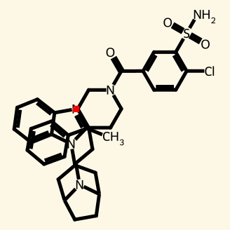 Cc1nc2ccccc2n1C1CC2CCC(C1)N2CCC1(c2ccccc2)CCN(C(=O)c2ccc(Cl)c(S(N)(=O)=O)c2)CC1